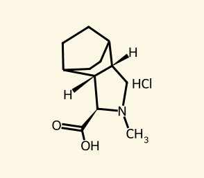 CN1C[C@H]2C3CCC(CC3)[C@H]2[C@@H]1C(=O)O.Cl